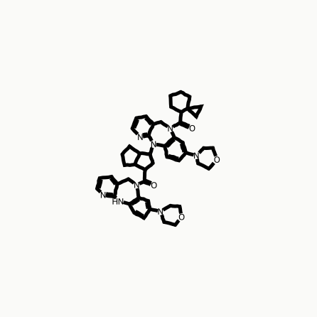 O=C(C1CC(N2c3ccc(N4CCOCC4)cc3N(C(=O)C3CCCCC34CC4)Cc3cccnc32)C2CCCC12)N1Cc2cccnc2Nc2ccc(N3CCOCC3)cc21